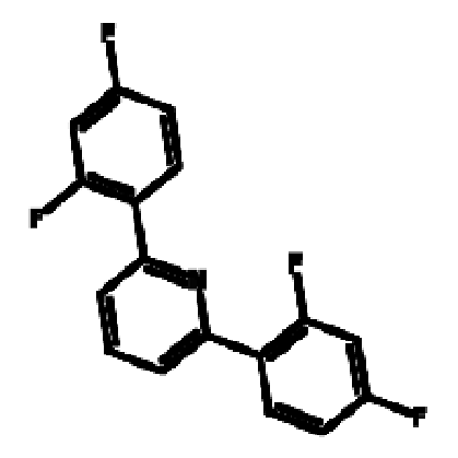 Fc1ccc(-c2cccc(-c3ccc(F)cc3F)n2)c(F)c1